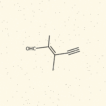 C#C/C(C)=C(\C)C=O